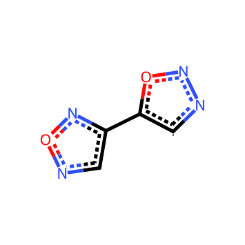 [c]1nnoc1-c1cnon1